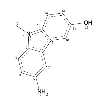 Cn1c2ccc(N)cc2c2cc(O)ccc21